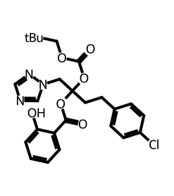 CC(C)(C)COC(=O)OC(CCc1ccc(Cl)cc1)(Cn1cncn1)OC(=O)c1ccccc1O